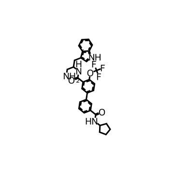 NCC(Cc1c[nH]c2ccccc12)NC(=O)c1cc(-c2cccc(C(=O)NC3CCCC3)c2)ccc1OC(F)(F)F